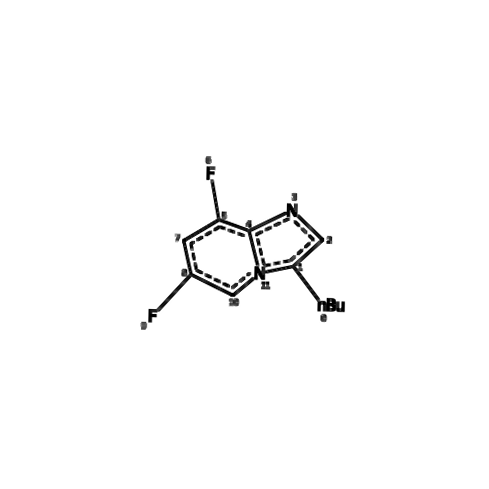 CCCCc1cnc2c(F)cc(F)cn12